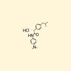 CC(C)Cc1ccc([C@@H](C)C(=O)Nc2ccc(N(C)C)cc2)cc1.Cl